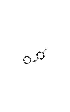 Fc1ccc(Sc2ccccc2)cc1